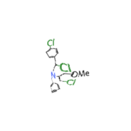 COCC(CCl)N(Cc1ccccc1)CC(Cl)c1ccc(Cl)cc1